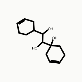 OC(C1CC=CCC1)C(O)C1(O)CC=CCC1